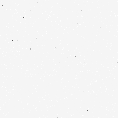 C=Cc1c(/C=C\C)n(-c2ccc3ccc4cccc5ccc2c3c45)c2c1ccc1c2cc(-c2ccccc2)n1-c1ccccc1